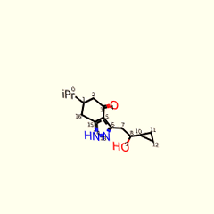 CC(C)C1CC(=O)c2c(CC(O)C3CC3)n[nH]c2C1